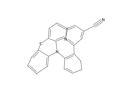 N#Cc1ccnc(C2=C(N3c4ccccc4Sc4ccccc43)C=CCC2)c1